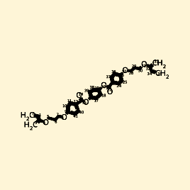 C=CC(=C)OCCCOc1ccc(C(=O)Oc2ccc(OC(=O)c3ccc(OCCCOC(=C)C=C)cc3)cc2)cc1